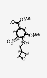 COC(=O)c1cc(OC)c(NCC2COC2)c([N+](=O)[O-])c1